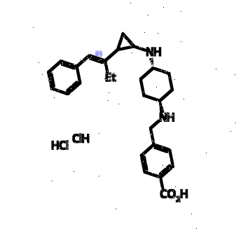 CC/C(=C\c1ccccc1)C1CC1N[C@H]1CC[C@H](NCc2ccc(C(=O)O)cc2)CC1.Cl.Cl